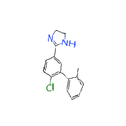 Cc1ccccc1-c1cc(C2=NCCN2)ccc1Cl